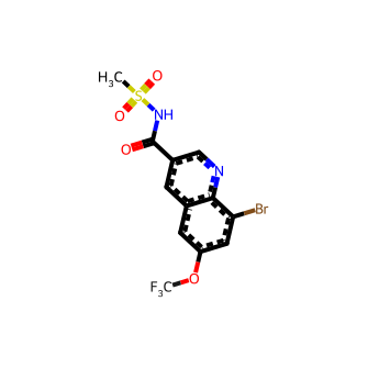 CS(=O)(=O)NC(=O)c1cnc2c(Br)cc(OC(F)(F)F)cc2c1